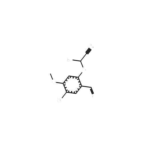 COc1cc(OC(Br)C#N)c(C=O)cc1Br